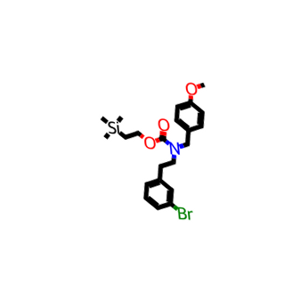 COc1ccc(CN(CCc2cccc(Br)c2)C(=O)OCC[Si](C)(C)C)cc1